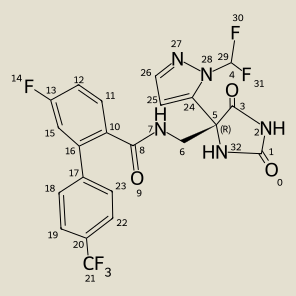 O=C1NC(=O)[C@@](CNC(=O)c2ccc(F)cc2-c2ccc(C(F)(F)F)cc2)(c2ccnn2C(F)F)N1